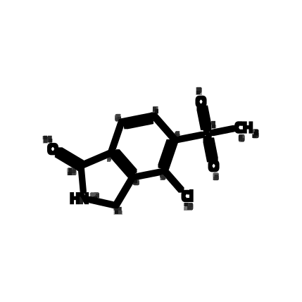 CS(=O)(=O)c1ccc2c(c1Cl)CNC2=O